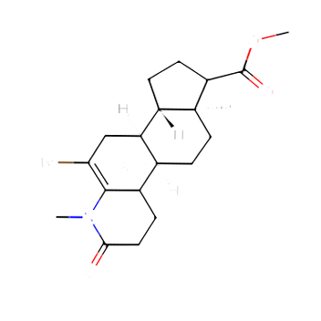 COC(=O)C1CC[C@H]2[C@@H]3CC(Br)=C4N(C)C(=O)CC[C@]4(C)[C@@H]3CC[C@]12C